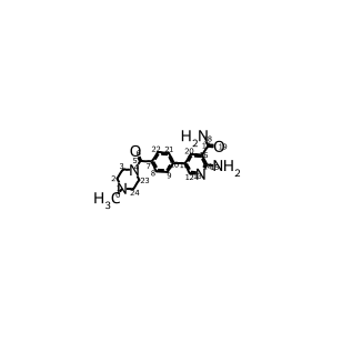 CN1CCN(C(=O)c2ccc(-c3cnc(N)c(C(N)=O)c3)cc2)CC1